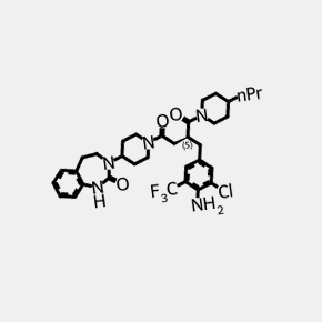 CCCC1CCN(C(=O)[C@H](CC(=O)N2CCC(N3CCc4ccccc4NC3=O)CC2)Cc2cc(Cl)c(N)c(C(F)(F)F)c2)CC1